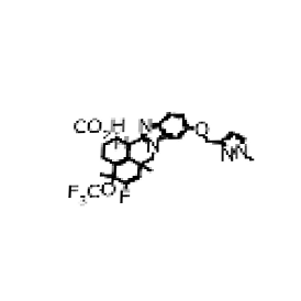 Cn1ccc(COc2ccc3nc4n(c3c2)CC2(C)C=C(F)C(C)(OC(F)(F)F)C3=C2[C@@H]4[C@@H](C(=O)O)CC3)n1